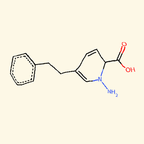 NN1C=C(CCc2ccccc2)C=CC1C(=O)O